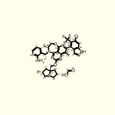 C[C@H](c1cccnc1N)N1c2nc(OC[C@@]34CCCN3C[C@H](F)C4)nc3c(F)c(-c4c(C(F)(F)F)c(Cl)cc5[nH]ncc45)nc(c23)OC[C@@H]1C.O=CO